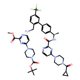 COC(=O)c1nccc(N2CCN(C(=O)OC(C)(C)C)CC2)n1.C[C@@H](NC(=O)c1nccc(N2CCN(C(=O)C3CC3)CC2)n1)c1ccc(-c2cc(C(F)(F)F)ccc2CN)cc1